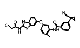 Cc1ccc(Oc2ccc3nc(NC(=O)CCl)sc3c2)cc1NC(=O)c1cccc(C2(C#N)CC2)c1